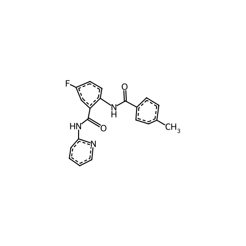 Cc1ccc(C(=O)Nc2ccc(F)cc2C(=O)Nc2ccccn2)cc1